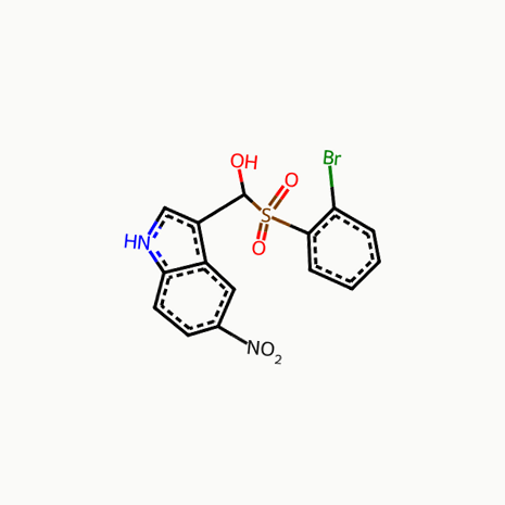 O=[N+]([O-])c1ccc2[nH]cc(C(O)S(=O)(=O)c3ccccc3Br)c2c1